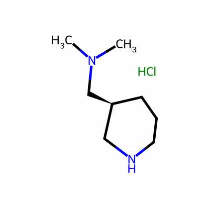 CN(C)C[C@H]1CCCNC1.Cl